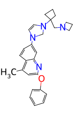 Cc1cc(Oc2ccccc2)nc2cc(N3C=CN(C4(CN5CCC5)CCC4)C3)ccc12